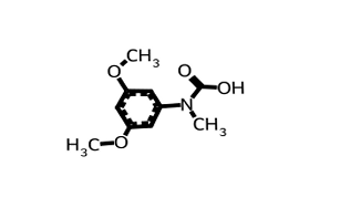 COc1cc(OC)cc(N(C)C(=O)O)c1